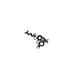 CC[C@]12c3c4ccc(OC(=O)/C=C/C=C(C)C)c3O[C@@]1(C)C(=O)CC[C@H]2[C@H](N(C)C)C4